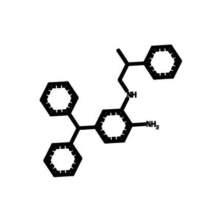 CC(CNc1cc(C(c2ccccc2)c2ccccc2)ccc1N)c1ccccc1